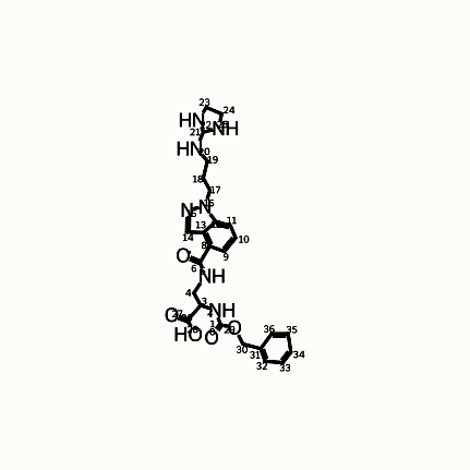 O=C(NC(CNC(=O)c1cccc2c1cnn2CCCNC1NCCN1)C(=O)O)OCc1ccccc1